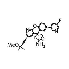 COC(C)(C)C#Cc1cnc2c(c1)[C@@]1(COC(N)=N1)c1cc(-c3cncc(F)c3)ccc1O2